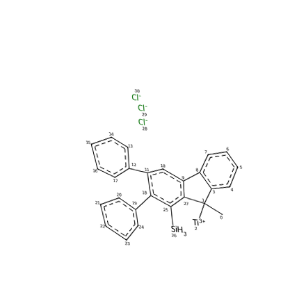 C[C]1([Ti+3])c2ccccc2-c2cc(-c3ccccc3)c(-c3ccccc3)c([SiH3])c21.[Cl-].[Cl-].[Cl-]